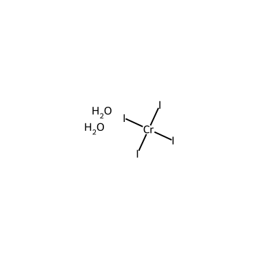 O.O.[I][Cr]([I])([I])[I]